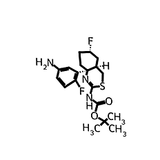 CC(C)(C)OC(=O)NC1=N[C@@]2(c3cc(N)ccc3F)CC[C@H](F)C[C@H]2CS1